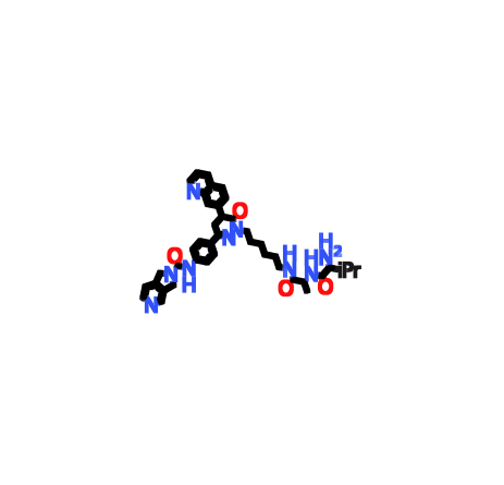 CC(NC(=O)C(N)C(C)C)C(=O)NCCCCCCN1N=C(c2ccc(NC(=O)N3Cc4ccncc4C3)cc2)CC(c2ccc3cccnc3c2)C1=O